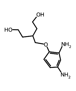 Nc1ccc(OCC(CCO)CCO)c(N)c1